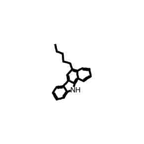 CCCCCc1cc2c3ccccc3[nH]c2c2ccccc12